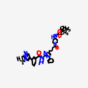 Cn1cc(-c2cccc(C(=O)Nc3nc(CCCC(=O)N4CCC(NC(=O)OC(C)(C)C)CC4)cn3-c3ccccc3)c2)cn1